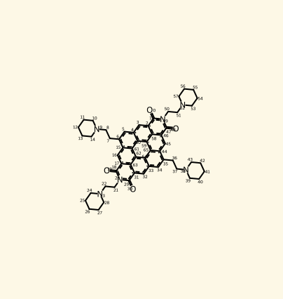 O=c1c2cc3cc(CCN4CCCCC4)c4cc5c(=O)n(CCN6CCCCC6)c(=O)c6cc7cc(CCN8CCCCC8)c8cc(c(=O)n1CCN1CCCCC1)c2c1c3c4c(c65)c7c81